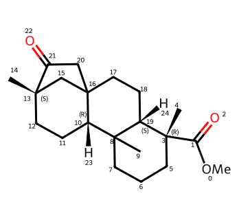 COC(=O)[C@]1(C)CCCC2(C)[C@@H]3CC[C@@]4(C)CC3(CC[C@@H]21)CC4=O